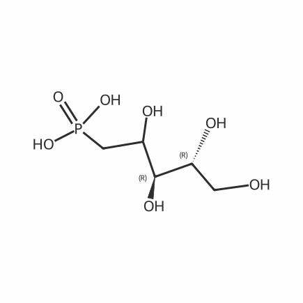 O=P(O)(O)CC(O)[C@H](O)[C@H](O)CO